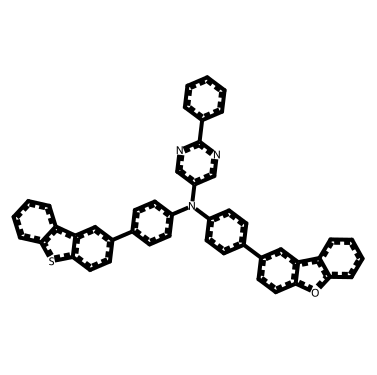 c1ccc(-c2ncc(N(c3ccc(-c4ccc5oc6ccccc6c5c4)cc3)c3ccc(-c4ccc5sc6ccccc6c5c4)cc3)cn2)cc1